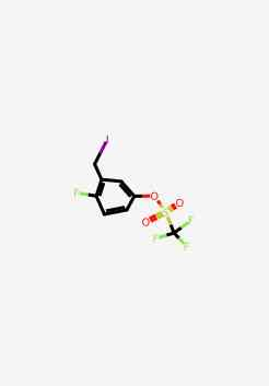 O=S(=O)(Oc1ccc(F)c(CI)c1)C(F)(F)F